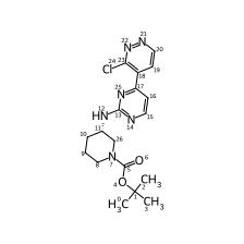 CC(C)(C)OC(=O)N1CCC[C@H](Nc2nccc(-c3ccnnc3Cl)n2)C1